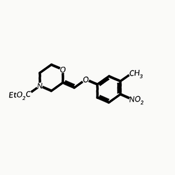 CCOC(=O)N1CCO/C(=C\Oc2ccc([N+](=O)[O-])c(C)c2)C1